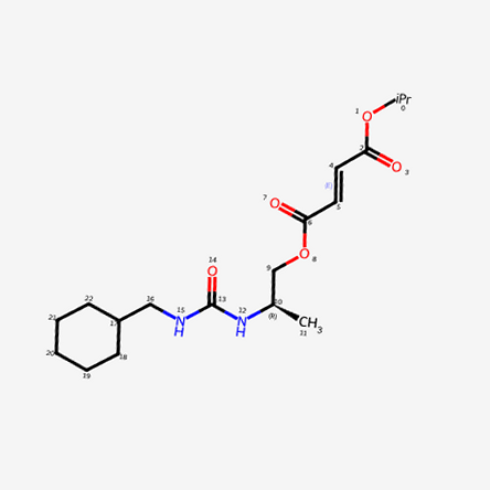 CC(C)OC(=O)/C=C/C(=O)OC[C@@H](C)NC(=O)NCC1CCCCC1